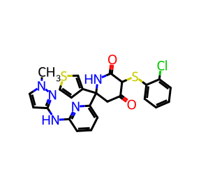 Cn1ccc(Nc2cccc(C3(c4ccsc4)CC(=O)C(Sc4ccccc4Cl)C(=O)N3)n2)n1